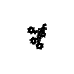 CCC(=O)N[C@H]1[C@H]2OC[C@](COCc3ccccc3)(O2)[C@H](OCc2ccccc2)[C@@H]1OCc1ccccc1